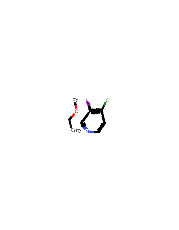 CCOCC=O.Clc1ccncc1I